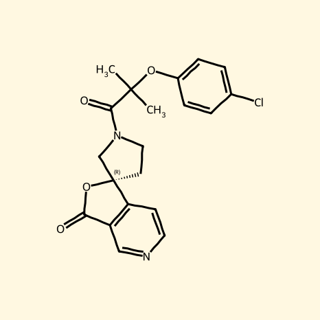 CC(C)(Oc1ccc(Cl)cc1)C(=O)N1CC[C@@]2(C1)OC(=O)c1cnccc12